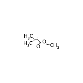 CCOC(=O)[CH]C(C)C